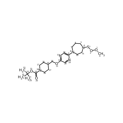 COOSN1CCCN(c2cnc(OCC3CCN(C(=O)OC(C)(C)C)CC3)cn2)CC1